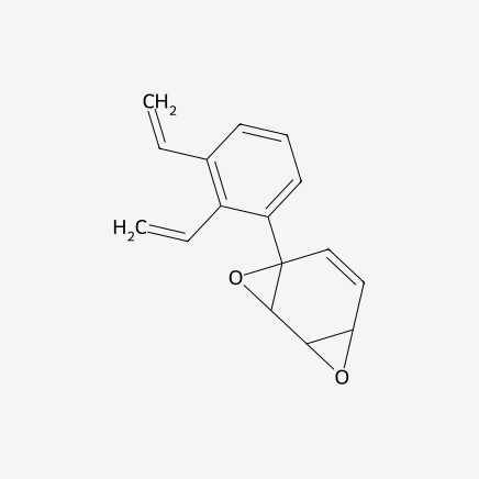 C=Cc1cccc(C23C=CC4OC4C2O3)c1C=C